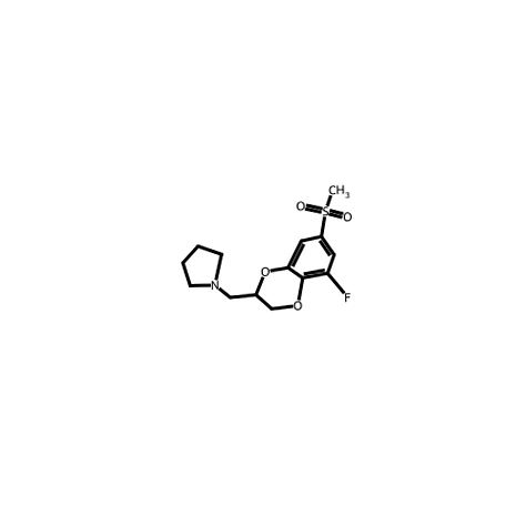 CS(=O)(=O)c1cc(F)c2c(c1)OC(CN1CCCC1)CO2